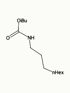 CCCCCCCCCNC(=O)OCC(C)C